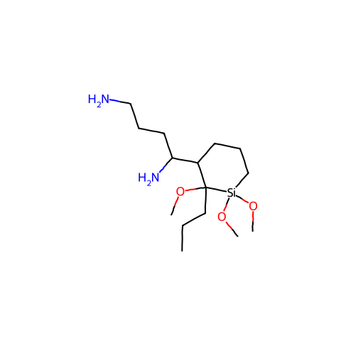 CCCC1(OC)C(C(N)CCCN)CCC[Si]1(OC)OC